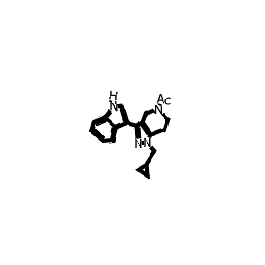 CC(=O)N1CCc2c(c(-c3c[nH]c4ccccc34)nn2CC2CC2)C1